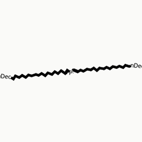 CCCCCCCCCCCCCCCCCCCCCCCCCCC=C[P]C=CCCCCCCCCCCCCCCCCCCCCCCCCCC